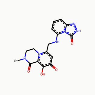 CC(C)N1CCn2c(CNc3cccc4n[nH]c(=O)n34)cc(=O)c(O)c2C1=O